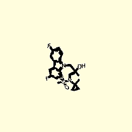 CC(O)(CN(C1(C)CC1)S(C)(=O)=O)Cn1c2ccc(F)cc2c2cc(F)ccc21